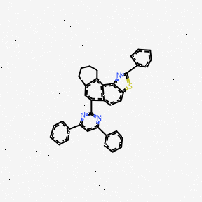 c1ccc(-c2cc(-c3ccccc3)nc(-c3cc4c(c5c3ccc3sc(-c6ccccc6)nc35)CCCC4)n2)cc1